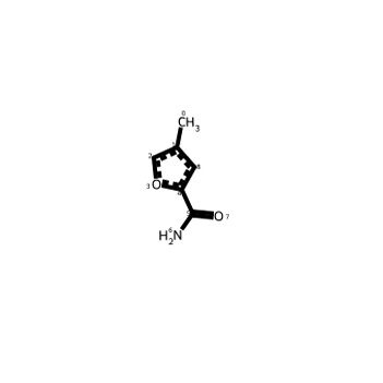 Cc1coc(C(N)=O)c1